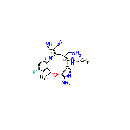 CCN/C1=C(\CN)C/C(=C(\C#N)C=N)Nc2ccc(F)cc2C(C)Oc2cc1cnc2N